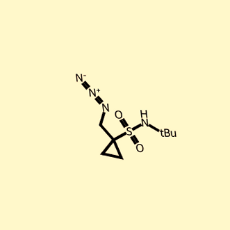 CC(C)(C)NS(=O)(=O)C1(CN=[N+]=[N-])CC1